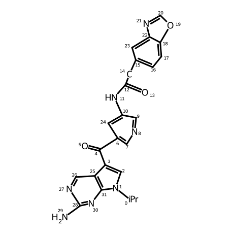 CC(C)n1cc(C(=O)c2cncc(NC(=O)Cc3ccc4ocnc4c3)c2)c2cnc(N)nc21